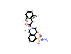 C[C@H]1c2cccc(S(N)(=O)=O)c2CCN1C(=O)Cc1c(Cl)cccc1Cl